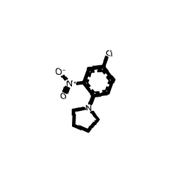 O=[N+]([O-])c1cc(Cl)ccc1N1CCCC1